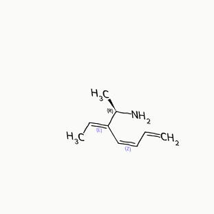 C=C/C=C\C(=C/C)[C@@H](C)N